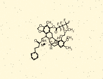 COCOc1c(OC)c(C)cc2c1[C@H]1N[C@H](C2)[C@H](C#N)N2C1Cc1c(OC(=O)C(F)(F)C(F)(F)C(F)(F)F)c(C)c3c(c1[C@@H]2CNC(=O)CCc1ccccc1)OCO3